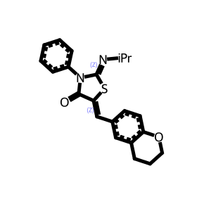 CC(C)/N=C1\S/C(=C\c2ccc3c(c2)CCCO3)C(=O)N1c1ccccc1